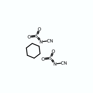 C1CCCCC1.N#CN=S(=O)=O.N#CN=S(=O)=O